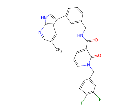 O=C(NCc1cccc(-c2c[nH]c3ncc(C(F)(F)F)cc23)c1)c1cccn(Cc2ccc(F)c(F)c2)c1=O